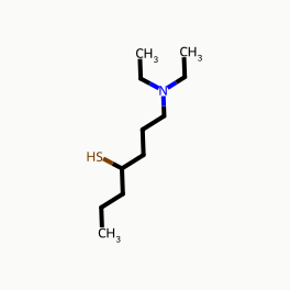 CCCC(S)CCCN(CC)CC